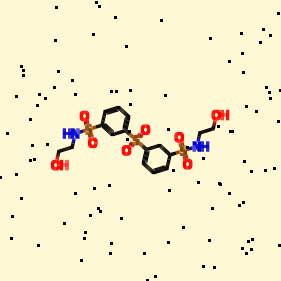 O=S(=O)(NCCO)c1cccc(S(=O)(=O)C2=CC=CC(S(=O)(=O)NCCO)C2)c1